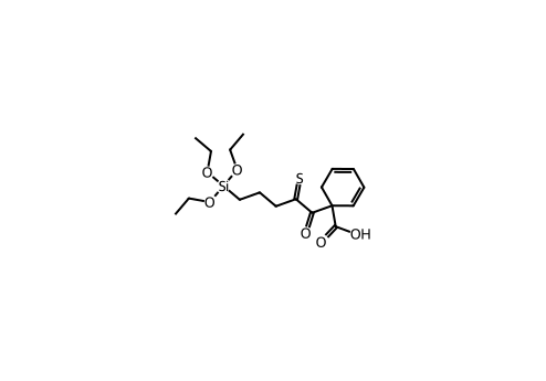 CCO[Si](CCCC(=S)C(=O)C1(C(=O)O)C=CC=CC1)(OCC)OCC